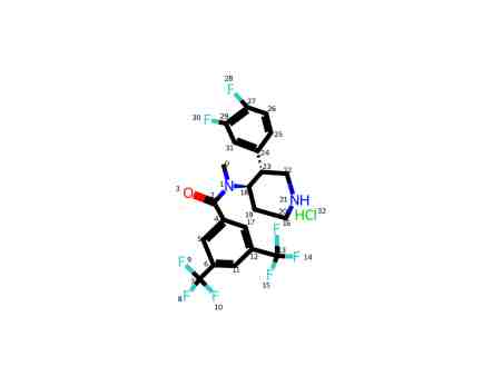 CN(C(=O)c1cc(C(F)(F)F)cc(C(F)(F)F)c1)[C@@H]1CCNC[C@H]1c1ccc(F)c(F)c1.Cl